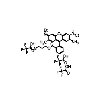 CCN=c1cc2oc3cc(NCC)c(C)cc3c(-c3ccccc3C(=O)OCCCN)c-2cc1C.O=C(O)C(F)(F)F.O=C(O)C(F)(F)F.O=C(O)C(F)(F)F